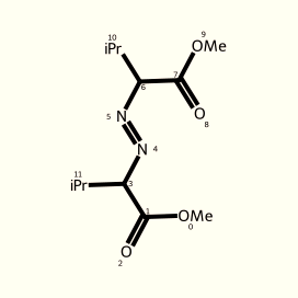 COC(=O)C(N=NC(C(=O)OC)C(C)C)C(C)C